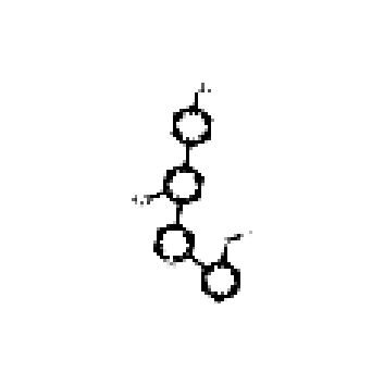 CCOc1ccccc1-c1cc(-c2ccc(-c3ccc(C(C)(C)C)cc3)cc2N)ccn1